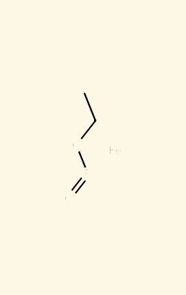 CCOP=O.[Fe]